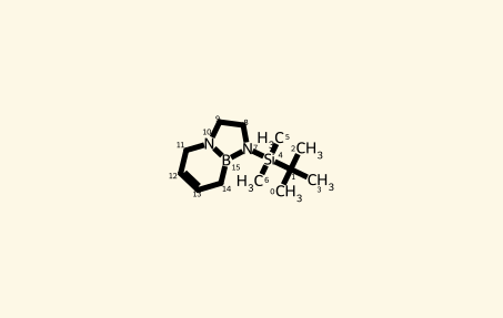 CC(C)(C)[Si](C)(C)N1CCN2CC=CCB21